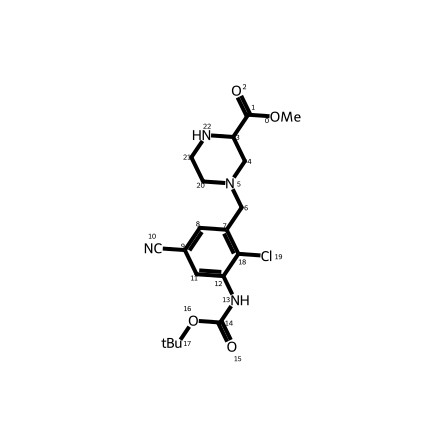 COC(=O)C1CN(Cc2cc(C#N)cc(NC(=O)OC(C)(C)C)c2Cl)CCN1